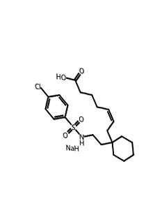 O=C(O)CCC/C=C\CC1(CCNS(=O)(=O)c2ccc(Cl)cc2)CCCCC1.[NaH]